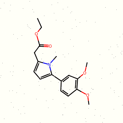 CCOC(=O)Cc1ccc(-c2ccc(OC)c(OC)c2)n1C